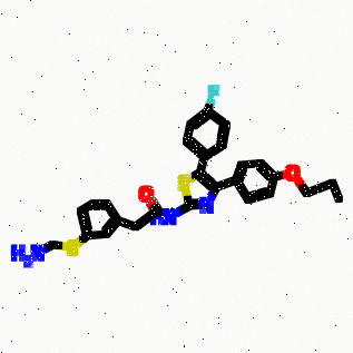 CCCOc1ccc(-c2nc(NC(=O)Cc3cccc(SCN)c3)sc2-c2ccc(F)cc2)cc1